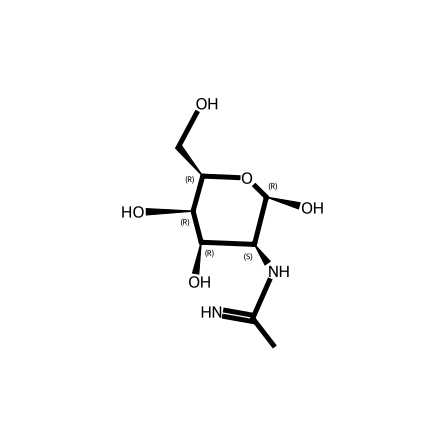 CC(=N)N[C@H]1[C@@H](O)[C@@H](O)[C@@H](CO)O[C@H]1O